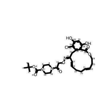 CC(C)(C)OC(=O)N1CCN(C(=O)CO/N=C2\C=C\CC/C=C/CCOC(=O)c3c(O)cc(O)c(Cl)c3C2)CC1